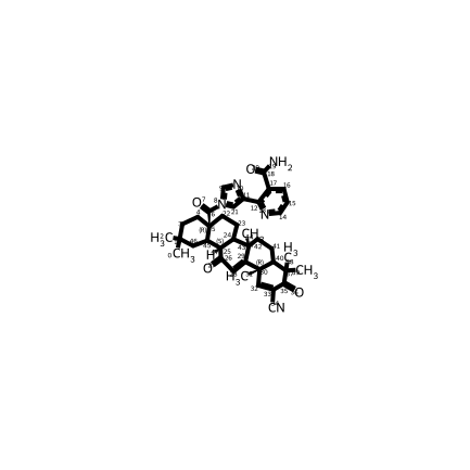 CC1(C)CC[C@]2(C(=O)n3cnc(-c4ncccc4C(N)=O)c3)CCC3[C@H](C(=O)C=C4[C@@]5(C)C=C(C#N)C(=O)C(C)(C)C5CC[C@]43C)C2C1